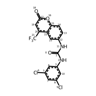 O=C(Nc1cc(Cl)cc(Cl)c1)Nc1ccc2oc(=O)cc(C(F)(F)F)c2c1